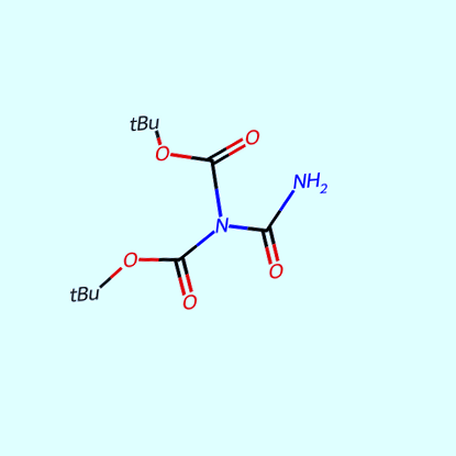 CC(C)(C)OC(=O)N(C(N)=O)C(=O)OC(C)(C)C